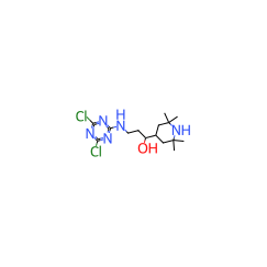 CC1(C)CC(C(O)CCNc2nc(Cl)nc(Cl)n2)CC(C)(C)N1